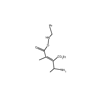 CCOC(=O)C(=C(C)C(=O)ONCC(C)C)C(C)N